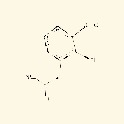 CCC(C#N)Oc1cccc(C=O)c1Cl